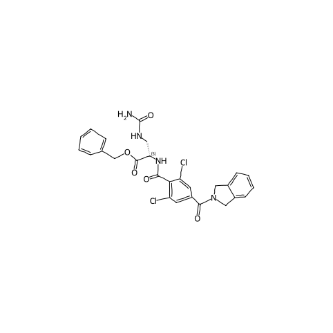 NC(=O)NC[C@H](NC(=O)c1c(Cl)cc(C(=O)N2Cc3ccccc3C2)cc1Cl)C(=O)OCc1ccccc1